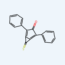 O=C1C(c2ccccc2)=c2c(=S)c2=C1c1ccccc1